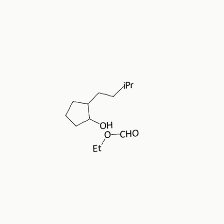 CC(C)CCC1CCCC1O.CCOC=O